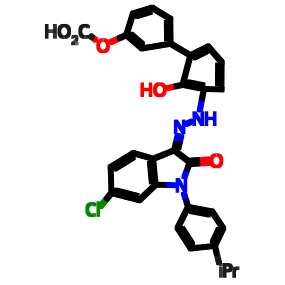 CC(C)c1ccc(N2C(=O)C(=NNc3cccc(-c4cccc(OC(=O)O)c4)c3O)c3ccc(Cl)cc32)cc1